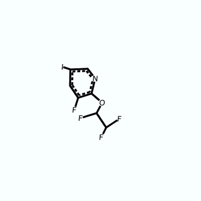 Fc1cc(I)cnc1OC(F)C(F)F